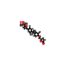 CCC(O)(CC)c1ccc(-c2ccc(C(CC)(CC)c3ccc(OC[C@H]4CCC(=O)O4)c(C)c3)cc2C)o1